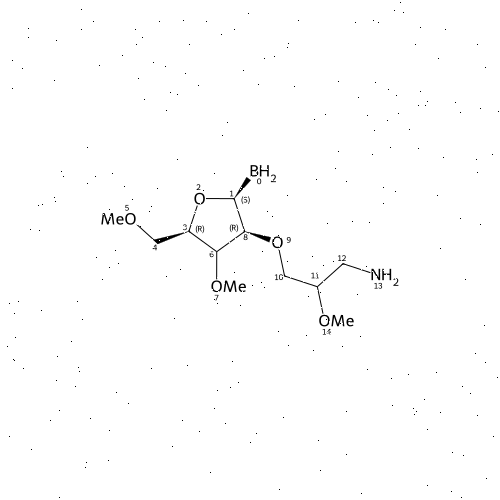 B[C@@H]1O[C@H](COC)C(OC)[C@@H]1OCC(CN)OC